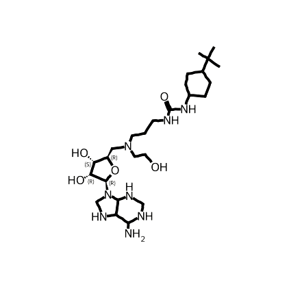 CC(C)(C)C1CCC(NC(=O)NCCCN(CCO)C[C@H]2O[C@@H](N3CNC4C(N)NCNC43)[C@H](O)[C@@H]2O)CC1